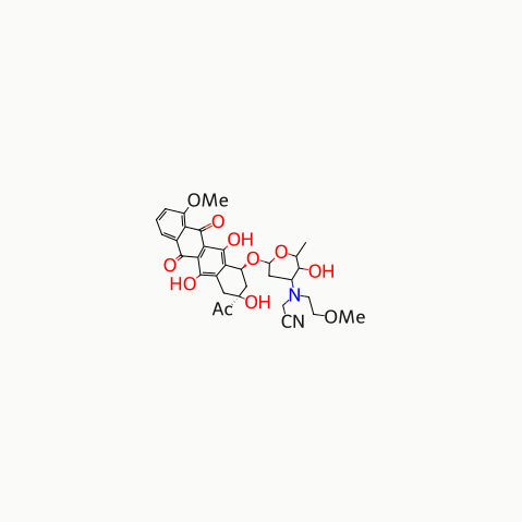 COCCN(CC#N)C1CC(O[C@H]2C[C@](O)(C(C)=O)Cc3c(O)c4c(c(O)c32)C(=O)c2c(OC)cccc2C4=O)OC(C)C1O